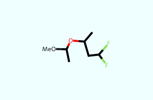 COC(C)OC(C)CC(F)F